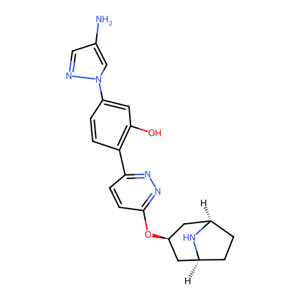 Nc1cnn(-c2ccc(-c3ccc(O[C@H]4C[C@H]5CC[C@@H](C4)N5)nn3)c(O)c2)c1